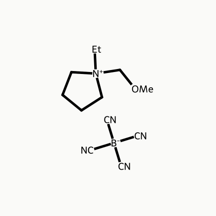 CC[N+]1(COC)CCCC1.N#C[B-](C#N)(C#N)C#N